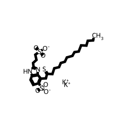 CCCCCCCCCCCCCCC(=S)Cc1c(S(=O)(=O)[O-])ccc2[nH]c(CCCS(=O)(=O)[O-])nc12.[K+].[K+]